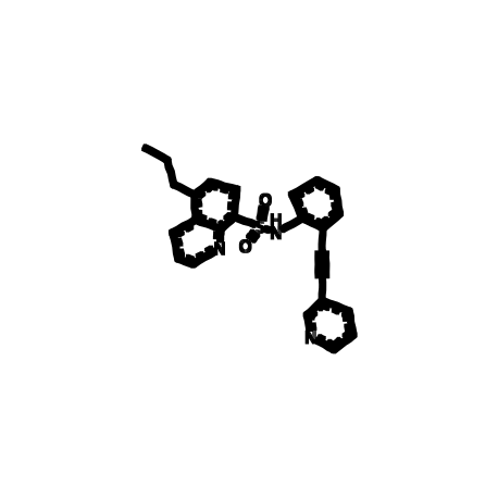 CCCc1ccc(S(=O)(=O)Nc2ccccc2C#Cc2cccnc2)c2ncccc12